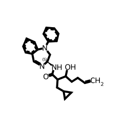 C=CCCC(O)C(CC1CC1)C(=O)N[C@@H]1CN(c2ccccc2)c2ccccc2C=N1